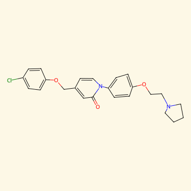 O=c1cc(COc2ccc(Cl)cc2)ccn1-c1ccc(OCCN2CCCC2)cc1